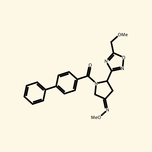 COCc1nc(C2CC(=NOC)CN2C(=O)c2ccc(-c3ccccc3)cc2)no1